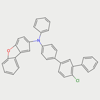 Clc1ccc(-c2ccc(N(c3ccccc3)c3ccc4oc5ccccc5c4c3)cc2)cc1-c1ccccc1